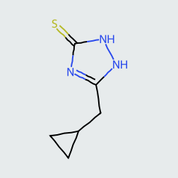 S=c1nc(CC2CC2)[nH][nH]1